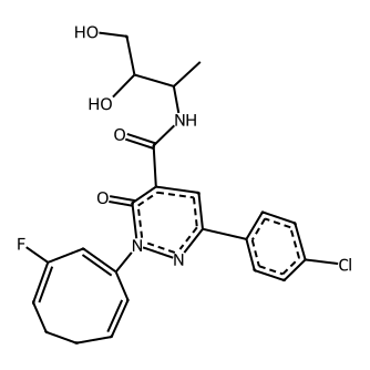 CC(NC(=O)c1cc(-c2ccc(Cl)cc2)nn(C2=C/C(F)=C\CC/C=C\2)c1=O)C(O)CO